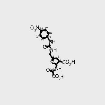 O=C(NCc1cc(C(=O)O)c(NC(=O)C(=O)O)s1)Nc1ccc([N+](=O)[O-])cc1